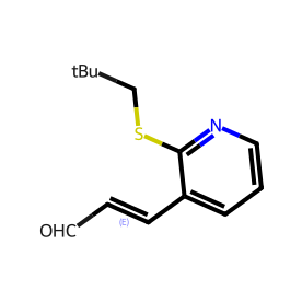 CC(C)(C)CSc1ncccc1/C=C/C=O